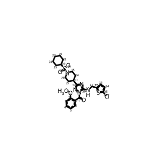 COc1ccccc1C(=O)n1nc(C2CCN(S(=O)(=O)C3CCCCC3)CC2)nc1NCc1ccc(Cl)s1